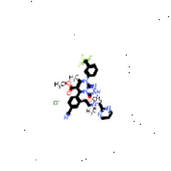 COC(=O)C1=C(C)N(c2cccc(C(F)(F)F)c2)c2n[nH]c(=O)n2C1c1ccc(C#N)cc1CC[N+](C)(C)Cc1ncccn1.[Cl-]